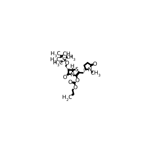 C=CCOC(=O)OC1=C(C[C@@H]2CCC(=O)N2C)S[C@@H]2[C@@H](CO[Si](C)(C)C(C)(C)C)C(=O)N12